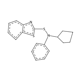 c1ccc(N(Sc2nc3ccccc3s2)C2CCCC2)cc1